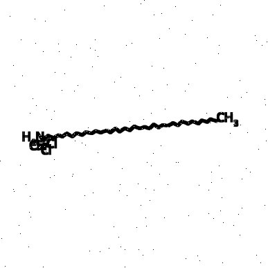 CCCCCCCCCCCCCCCCCCCCCCCCCCCCCCCCCCCCC[C@@H](N)[Si](Cl)(Cl)Cl